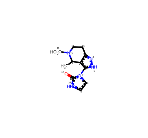 CC1c2c(n[nH]c2-n2cc[nH]c2=O)CCN1C(=O)O